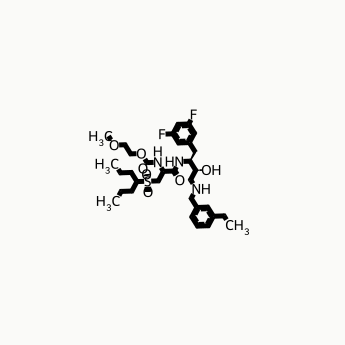 CCCC(CCC)S(=O)(=O)CC(NC(=O)OCCOC)C(=O)N[C@@H](Cc1cc(F)cc(F)c1)[C@H](O)CNCc1cccc(CC)c1